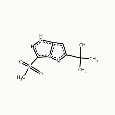 CC(C)(C)c1cc2[nH]nc(S(C)(=O)=O)n2n1